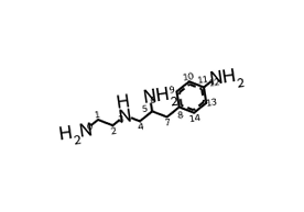 NCCNCC(N)Cc1ccc(N)cc1